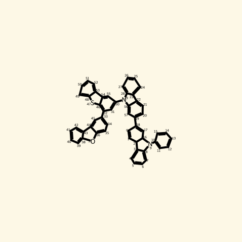 C1=CC2c3ccccc3N(c3ccccc3)C2C=C1c1ccc2c3ccccc3n(-c3cc(-c4ccc5oc6ccccc6c5c4)c4sc5ccccc5c4c3)c2c1